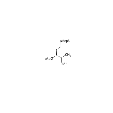 CCCCCCCCCC(OC)C(C)CCCC